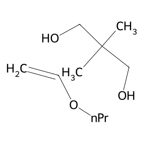 C=COCCC.CC(C)(CO)CO